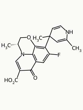 CC1=CC(C)(c2c(F)cc3c(=O)c(C(=O)O)cn4c3c2OC[C@H]4C)C=CN1